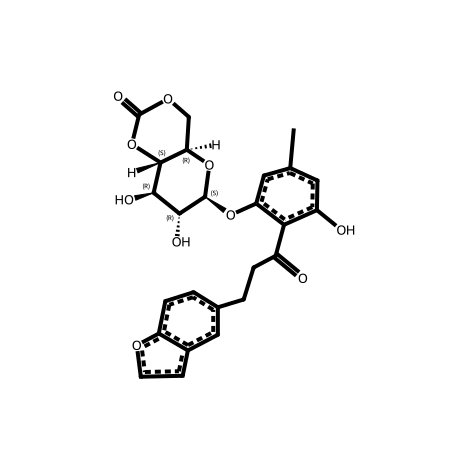 Cc1cc(O)c(C(=O)CCc2ccc3occc3c2)c(O[C@@H]2O[C@@H]3COC(=O)O[C@H]3[C@H](O)[C@H]2O)c1